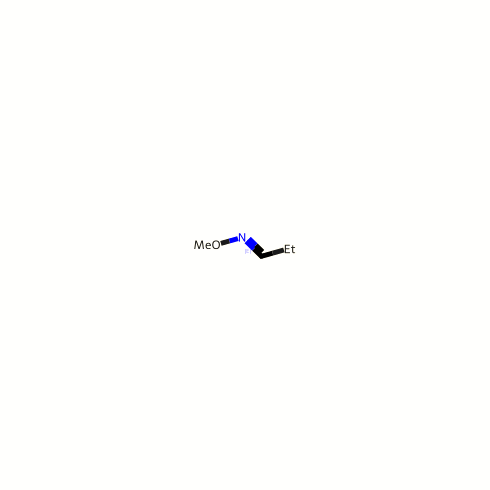 CC/C=N/OC